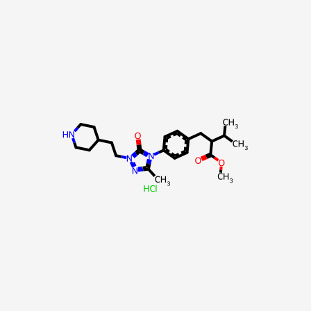 COC(=O)C(Cc1ccc(-n2c(C)nn(CCC3CCNCC3)c2=O)cc1)C(C)C.Cl